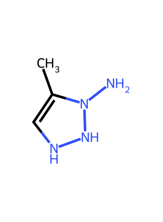 CC1=CNNN1N